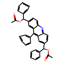 CC(=O)OC(c1ccccc1)c1ccc2nc3ccc(C(OC(C)=O)c4ccccc4)cc3c(-c3ccccc3)c2c1